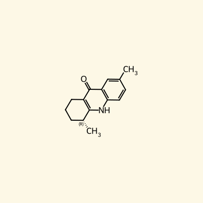 Cc1ccc2[nH]c3c(c(=O)c2c1)CCC[C@H]3C